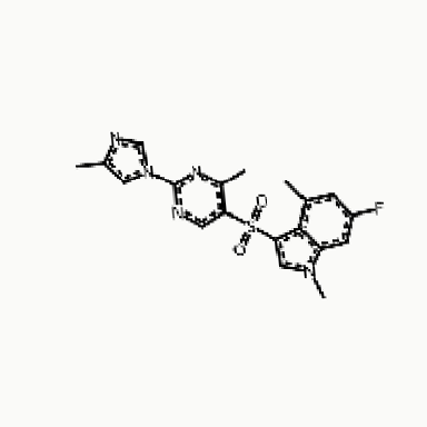 Cc1cn(-c2ncc(S(=O)(=O)c3cn(C)c4cc(F)cc(C)c34)c(C)n2)cn1